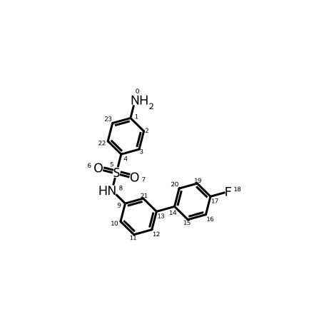 Nc1ccc(S(=O)(=O)Nc2cccc(-c3ccc(F)cc3)c2)cc1